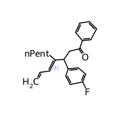 C=C/C=C(\CCCCC)C(CC(=O)c1ccccc1)c1ccc(F)cc1